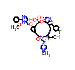 C#C/C(Cl)=C1\C=C/Cc2c(-c3ccc(F)cc3)sc3ncnc(c23)O[C@@H](C(=O)O)Cc2cc(ccc2OCc2ccnc(-c3ccccc3OC)n2)CC(=O)N(CCN2CCN(C)CC2)C1